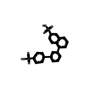 O=S(=O)(O)c1ccc(-c2cccc(-c3cccc4cc(S(=O)(=O)O)ccc34)c2)cc1